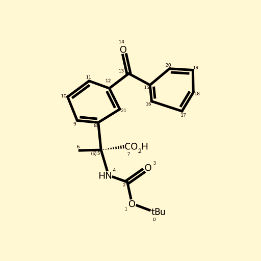 CC(C)(C)OC(=O)N[C@](C)(C(=O)O)c1cccc(C(=O)c2ccccc2)c1